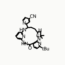 CC(C)(C)c1ccc2c(n1)N1C[C@@H](CCC(c3cc(C#N)ccn3)Nc3cccc(n3)SNC2=O)CC1(C)C